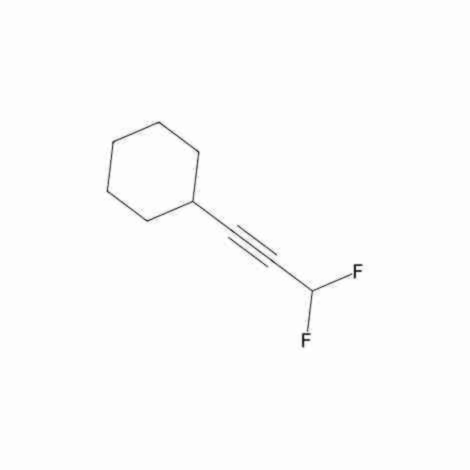 FC(F)C#CC1CCCCC1